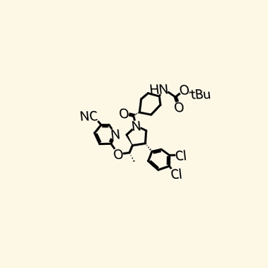 C[C@H](Oc1ccc(C#N)cn1)[C@H]1CN(C(=O)[C@H]2CC[C@H](NC(=O)OC(C)(C)C)CC2)C[C@@H]1c1ccc(Cl)c(Cl)c1